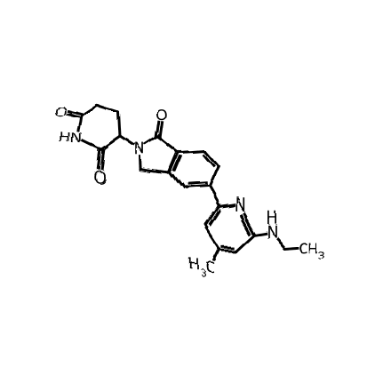 CCNc1cc(C)cc(-c2ccc3c(c2)CN(C2CCC(=O)NC2=O)C3=O)n1